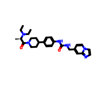 CCN(CC)[C@@H](C)C(=O)N1CCC(c2ccc(NC(=O)NCc3ccn4ccnc4c3)cc2)CC1